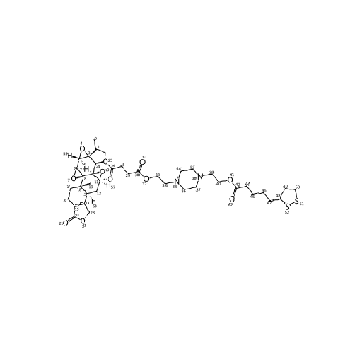 CC(C)[C@]12O[C@H]1[C@@H]1O[C@]13[C@]1(O[C@H]1C[C@H]1C4=C(CC[C@@]13C)C(=O)OC4)[C@@H]2OC(=O)CCC(=O)OCCN1CCN(CCOC(=O)CCCCC2CCSS2)CC1